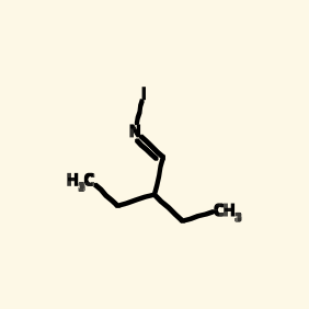 CCC(C=NI)CC